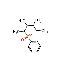 CCC(C)C(C)C(C)S(=O)(=O)c1ccccc1